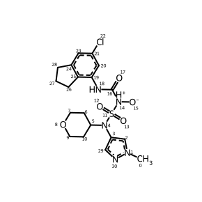 Cn1cc(N(C2CCOCC2)S(=O)(=O)[NH+]([O-])C(=O)Nc2cc(Cl)cc3c2CCC3)cn1